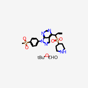 C=CC(c1ncnc2c1cnn2-c1ccc(S(C)(=O)=O)cc1)S(=O)(=O)C1CCNCC1.CC(C)(C)OC=O